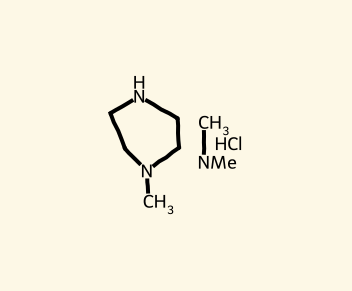 CN1CCNCC1.CNC.Cl